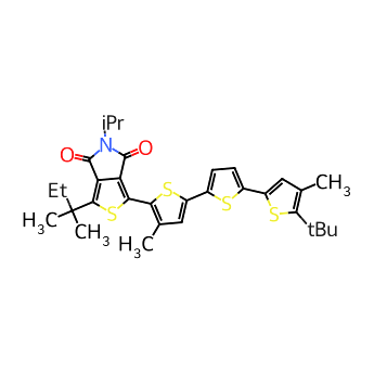 CCC(C)(C)c1sc(-c2sc(-c3ccc(-c4cc(C)c(C(C)(C)C)s4)s3)cc2C)c2c1C(=O)N(C(C)C)C2=O